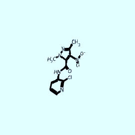 Cc1nn(C)c(C(=O)Nc2cccnc2Cl)c1[N+](=O)[O-]